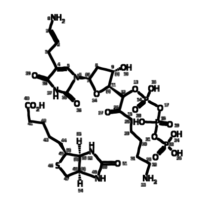 NC=CCc1cn([C@H]2C[C@H](O)[C@@H](C(OP(=O)(O)OP(=O)(O)OP(=O)(O)O)C(=O)CCCCCN)O2)c(=O)[nH]c1=O.O=C(O)CCCC[C@@H]1SC[C@@H]2NC(=O)N[C@@H]21